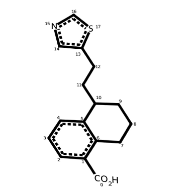 O=C(O)c1cccc2c1CCCC2CCc1cncs1